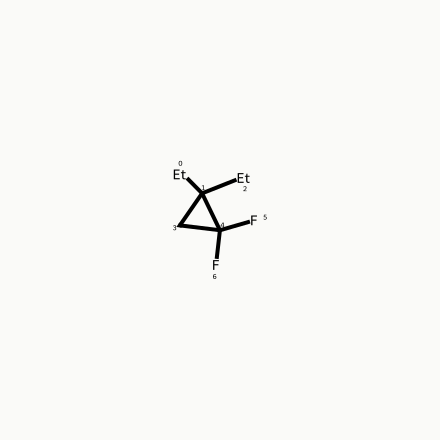 CCC1(CC)CC1(F)F